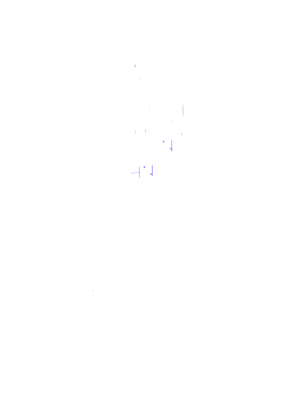 CCC1(CC)C(=O)N(C(=O)NCCCCc2ccc(C)cc2)[C@H]1Oc1ccc(C(=O)O)cc1